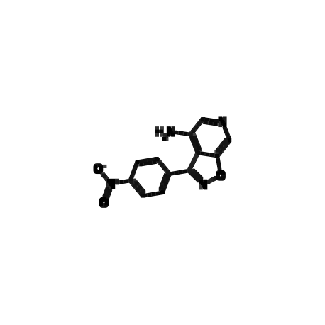 Nc1cncc2onc(-c3ccc([N+](=O)[O-])cc3)c12